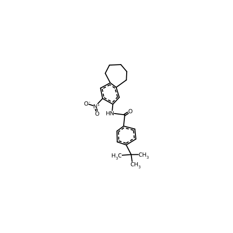 CC(C)(C)c1ccc(C(=O)Nc2cc3c(cc2[N+](=O)[O-])CCCCC3)cc1